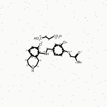 CC(C)(C)C(=O)COc1ccc(CNc2c(Cl)ccc3c2CCNCC3)cc1Cl.O=C(O)CCC(=O)O